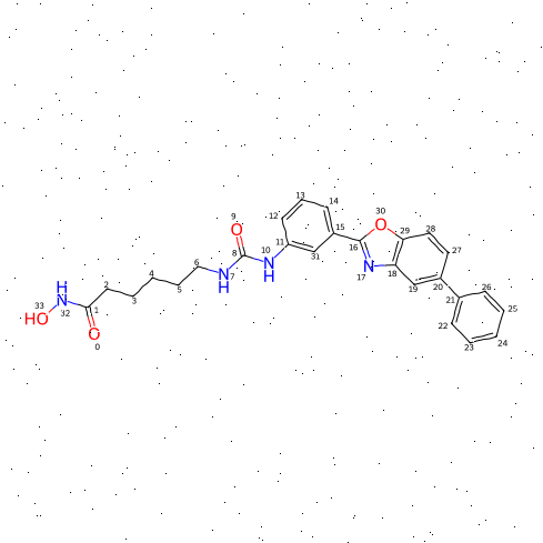 O=C(CCCCCNC(=O)Nc1cccc(-c2nc3cc(-c4ccccc4)ccc3o2)c1)NO